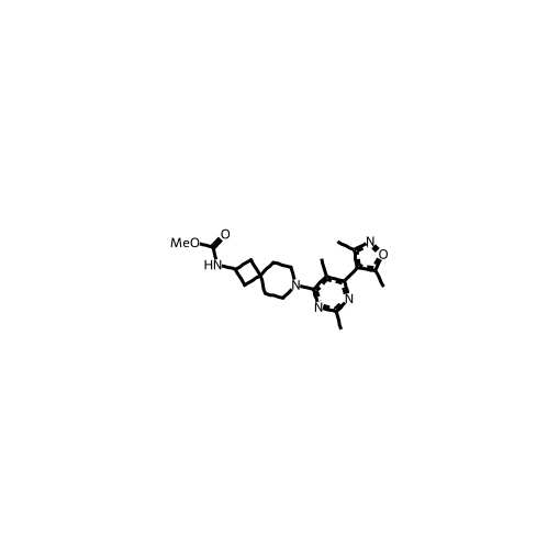 COC(=O)NC1CC2(CCN(c3nc(C)nc(-c4c(C)noc4C)c3C)CC2)C1